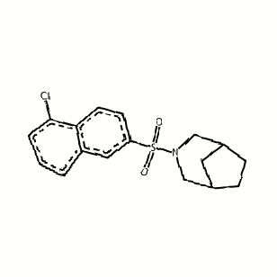 O=S(=O)(c1ccc2c(Cl)cccc2c1)N1CC2CCC(C2)C1